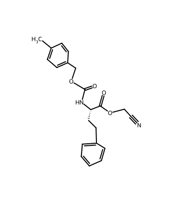 Cc1ccc(COC(=O)N[C@@H](CCc2ccccc2)C(=O)OCC#N)cc1